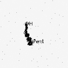 CCCCCC1(c2ccc(-c3ccc(OCCCCCCO)cc3)cc2)CCCCC1